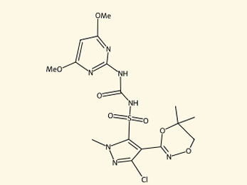 COc1cc(OC)nc(NC(=O)NS(=O)(=O)c2c(C3=NOCC(C)(C)O3)c(Cl)nn2C)n1